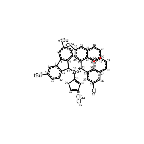 CC(C)(C)c1ccc2c(c1)-c1cc(C(C)(C)C)ccc1[CH]2[Zr+2]([C]1=CC=CC1)=[C](c1cc(Cl)cc2ccccc12)c1cc(Cl)cc2ccccc12.[Cl-].[Cl-]